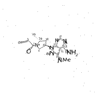 C=CC(=O)N1C[C@H](n2nc(NC)c3c(N)ncnc32)C[C@H]1C